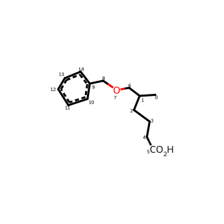 CC(CCCC(=O)O)COCc1ccccc1